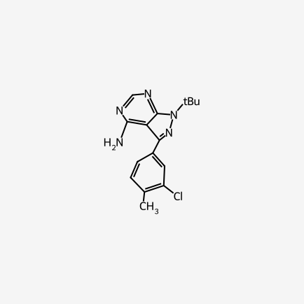 Cc1ccc(-c2nn(C(C)(C)C)c3ncnc(N)c23)cc1Cl